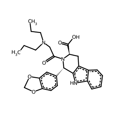 CCCN(CCC)CC(=O)N1[C@@H](c2ccc3c(c2)OCO3)c2[nH]c3ccccc3c2C[C@@H]1C(=O)O